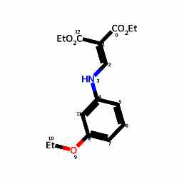 CCOC(=O)C(=CNc1cccc(OCC)c1)C(=O)OCC